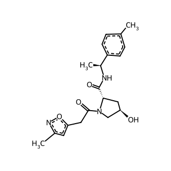 Cc1ccc([C@H](C)NC(=O)[C@@H]2C[C@@H](O)CN2C(=O)Cc2cc(C)no2)cc1